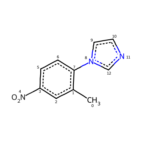 Cc1cc([N+](=O)[O-])ccc1-n1ccnc1